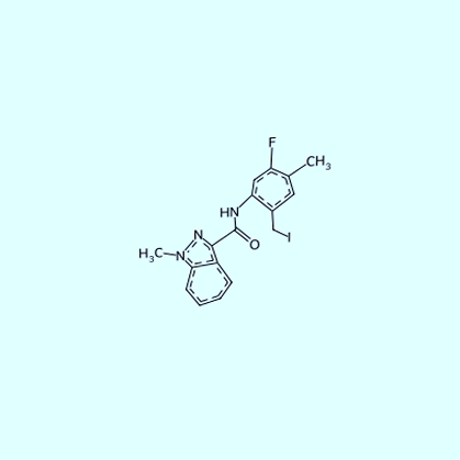 Cc1cc(CI)c(NC(=O)c2nn(C)c3ccccc23)cc1F